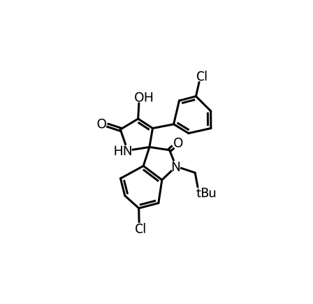 CC(C)(C)CN1C(=O)C2(NC(=O)C(O)=C2c2cccc(Cl)c2)c2ccc(Cl)cc21